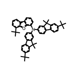 CC(C)(C)c1ccc2c(c1)C(C)(C)c1cc(N(c3ccc4c(c3)C(C)(C)c3cc(C(C)(C)C)ccc3-4)c3cccc4c3oc3c(C(C)(C)C)cccc34)ccc1-2